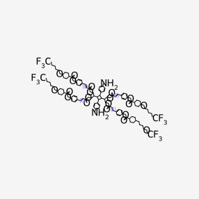 Nc1ccc(C2C(C(COC(=O)/C=C/c3ccc(OC(=O)C4CCC(CCCCOCC(F)(F)F)CC4)cc3)COC(=O)/C=C/c3ccc(OC(=O)C4CCC(OCCCCCC(F)(F)F)CC4)cc3)C(c3ccc(N)cc3)C2C(COC(=O)/C=C/c2ccc(OC(=O)C3CCC(OCCCCCC(F)(F)F)CC3)cc2)COC(=O)/C=C/c2ccc(OC(=O)C3CCC(OCCCCCC(F)(F)F)CC3)cc2)cc1